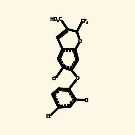 CCc1ccc(Oc2cc3c(cc2Cl)C=C(C(=O)O)C(C(F)(F)F)O3)c(Cl)c1